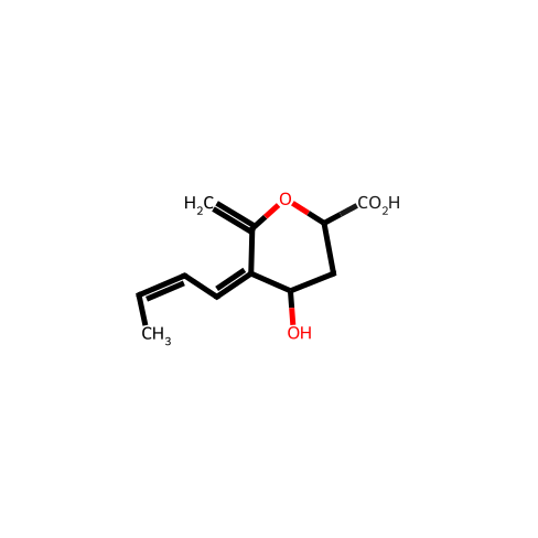 C=C1OC(C(=O)O)CC(O)/C1=C/C=C\C